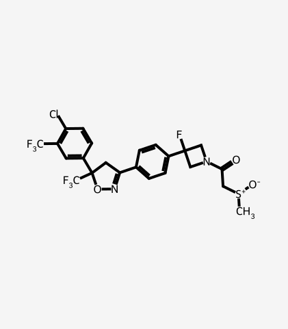 C[S+]([O-])CC(=O)N1CC(F)(c2ccc(C3=NOC(c4ccc(Cl)c(C(F)(F)F)c4)(C(F)(F)F)C3)cc2)C1